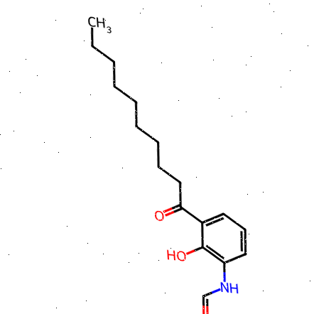 CCCCCCCCCC(=O)c1cccc(NC=O)c1O